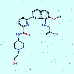 C=C(C#N)CNc1c(OCC)ccc2ccc(-c3cccc(C(=O)NC4CCN(CCO)CC4)n3)cc12